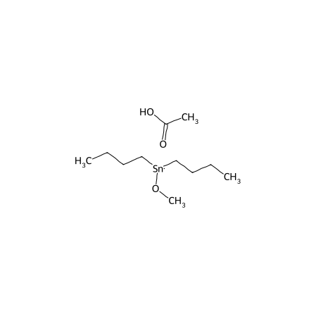 CC(=O)O.CCC[CH2][Sn]([CH2]CCC)[O]C